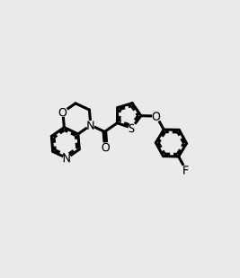 O=C(c1ccc(Oc2ccc(F)cc2)s1)N1CCOc2ccncc21